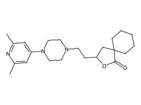 Cc1cc(N2CCN(CCC3CC4(CCCCC4)C(=O)O3)CC2)cc(C)n1